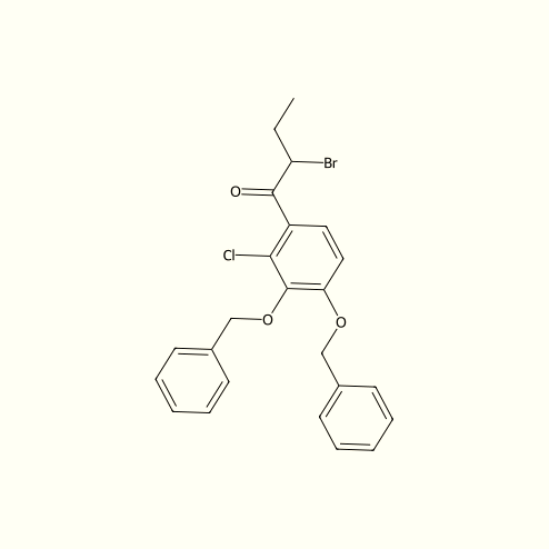 CCC(Br)C(=O)c1ccc(OCc2ccccc2)c(OCc2ccccc2)c1Cl